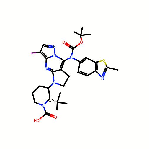 Cc1nc2ccc(N(C(=O)OC(C)(C)C)c3c4c(nc5c(I)cnn35)N(C3CCCN(C(=O)O)[C@H]3C(C)(C)C)CC4)cc2s1